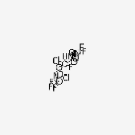 CC(C)(Oc1ncc(Oc2cc(F)c(C(=O)NS(=O)(=O)N3CC(F)(F)C3)cc2Cl)cc1Cl)C(F)(F)F